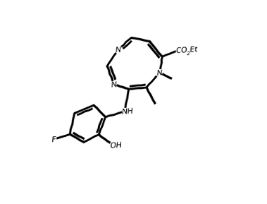 CCOC(=O)c1ccncnc(Nc2ccc(F)cc2O)c(C)n1C